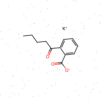 CCCCC(=O)c1ccccc1C(=O)[O-].[K+]